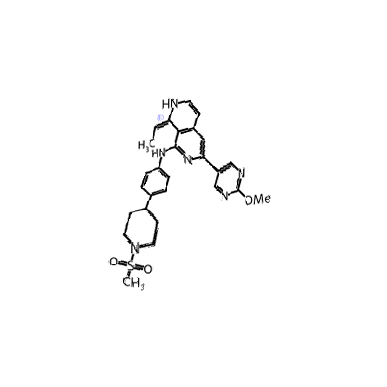 C/C=C1/NC=Cc2cc(-c3cnc(OC)nc3)nc(Nc3ccc(C4CCN(S(C)(=O)=O)CC4)cc3)c21